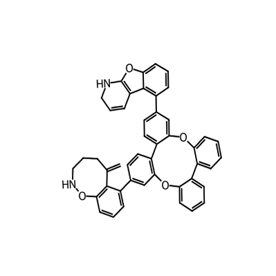 C=C1CCCNOc2cccc(-c3ccc4c(c3)Oc3ccccc3-c3ccccc3Oc3cc(-c5cccc6oc7c(c56)C=CCN7)ccc3-4)c21